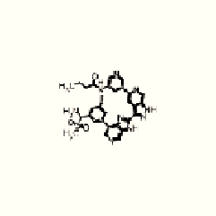 CCCC(=O)Nc1cncc(-c2cc3c(-c4nc5c(-c6cc(F)cc(C(N)S(C)(=O)=O)c6)cncc5[nH]4)n[nH]c3cn2)c1